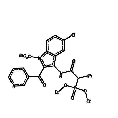 CCOC(=O)n1c(C(=O)c2cccnc2)c(NC(=O)C(C(C)C)P(=O)(OCC)OCC)c2cc(Cl)ccc21